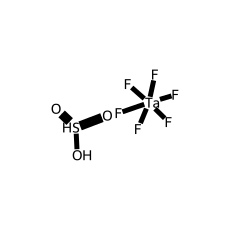 O=[SH](=O)O.[F][Ta]([F])([F])([F])([F])[F]